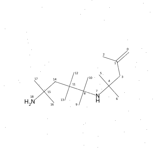 C=C(C)CC(C)(C)NC(C)(C)C(C)(C)CC(C)(C)N